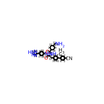 Cc1cc(C#N)ccc1-c1ccc(C[C@H](NC(=O)C2CCC(CN)CC2)C(=O)Nc2ccc(-c3nn[nH]n3)cc2)cc1